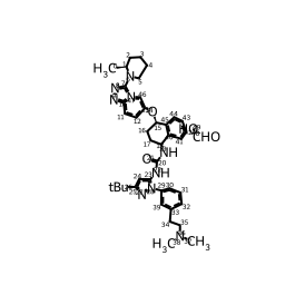 C[C@H]1CCCCN1c1nnc2ccc(O[C@@H]3CC[C@H](NC(=O)Nc4cc(C(C)(C)C)nn4-c4cccc(CCN(C)C)c4)c4ccccc43)cn12.O=CO